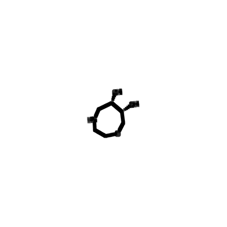 O[C@@H]1COCCNC[C@@H]1O